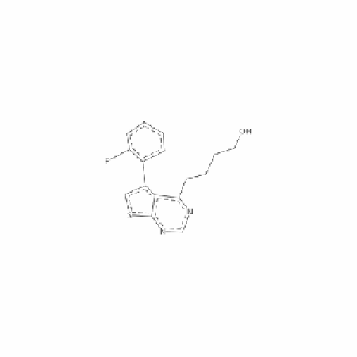 OCCCCc1ncnc2scc(-c3ccccc3F)c12